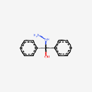 NNC(O)(c1ccccc1)c1ccccc1